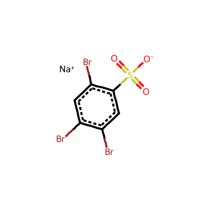 O=S(=O)([O-])c1cc(Br)c(Br)cc1Br.[Na+]